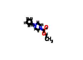 CCOC(=O)N1CCN(C2=CCCC2)CC1